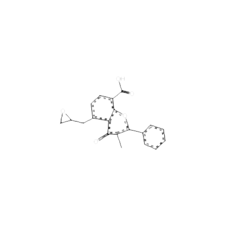 Cc1c(-c2ccccc2)oc2c(C(=O)O)ccc(CC3CO3)c2c1=O